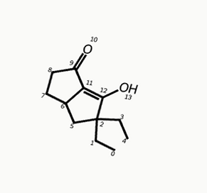 CCC1(CC)CC2CCC(=O)C2=C1O